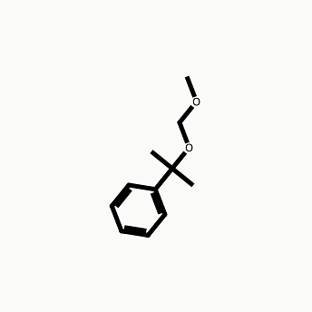 COCOC(C)(C)c1ccccc1